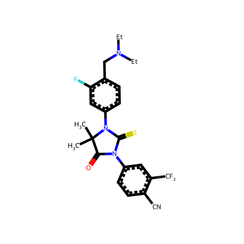 CCN(CC)Cc1ccc(N2C(=S)N(c3ccc(C#N)c(C(F)(F)F)c3)C(=O)C2(C)C)cc1F